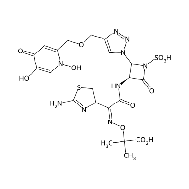 CC(C)(O/N=C(\C(=O)N[C@@H]1C(=O)N(S(=O)(=O)O)C1n1cc(COCc2cc(=O)c(O)cn2O)nn1)C1CSC(N)=N1)C(=O)O